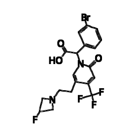 O=C(O)C(c1cccc(Br)c1)n1cc(CCN2CC(F)C2)c(C(F)(F)F)cc1=O